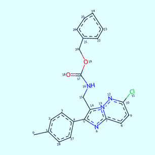 Cc1ccc(-c2nc3ccc(Cl)nn3c2CNC(=O)OCc2ccccc2)cc1